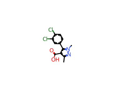 Cc1nn(C)c(-c2ccc(Cl)c(Cl)c2)c1C(=O)O